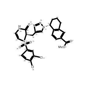 COC(=O)c1ccc2c(c1)CCC[C@H]2n1cc(C[C@@H]2C(=O)NC=CN2S(=O)(=O)c2ccc(Cl)c(Cl)c2)nn1